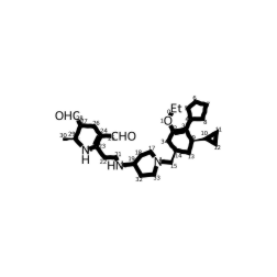 CCOC1=C(C2CCCC2)[C@@H](C2CC2)C[C@@H](CN2CCC(NCCC3=C(C=O)CC(C=O)[C@H](C)N3)CC2)C1